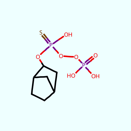 O=P(O)(O)OOP(O)(=S)OC1CC2CCC1C2